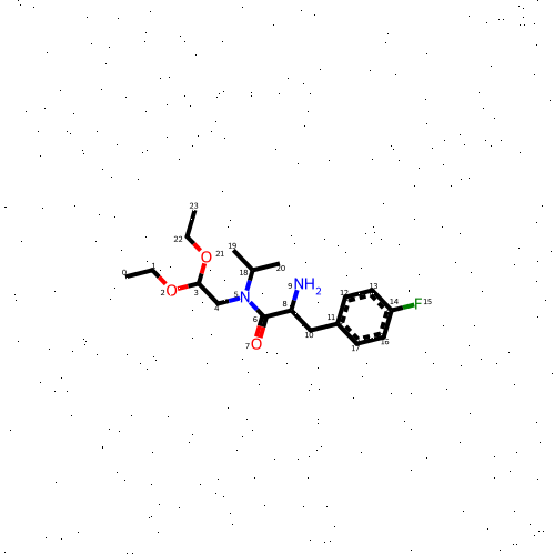 CCOC(CN(C(=O)C(N)Cc1ccc(F)cc1)C(C)C)OCC